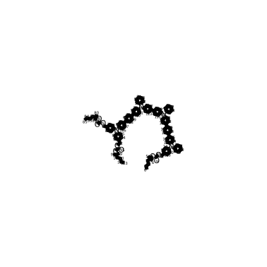 CCCCC(C)(C)OC(=O)OCc1ccc(N(c2ccccc2)c2ccc(-c3ccc(-c4ccc(N(c5ccccc5)c5ccc(-c6ccc(N(c7ccccc7)c7ccc(-c8ccc(-c9ccc(N(c%10ccc(COC(=O)OC(C)(C)CCCC)cc%10)c%10ccc(COC(=O)OC(C)(C)CCCC)cc%10)cc9)cc8)cc7)cc6)cc5)cc4)cc3)cc2)cc1